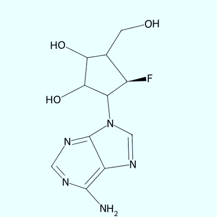 Nc1ncnc2c1ncn2C1C(O)C(O)C(CO)[C@H]1F